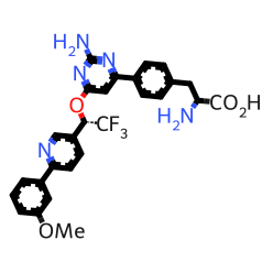 COc1cccc(-c2ccc([C@H](Oc3cc(-c4ccc(CC(N)C(=O)O)cc4)nc(N)n3)C(F)(F)F)cn2)c1